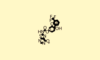 COc1ncnc2sc(NC(=O)ON3CCC(O)(c4cccc(C(F)(F)F)c4)C(O)C3)nc12